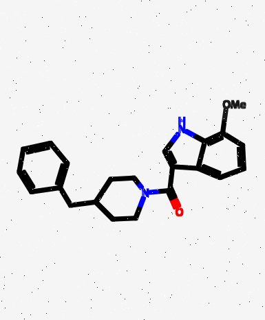 COc1cccc2c(C(=O)N3CCC(Cc4ccccc4)CC3)c[nH]c12